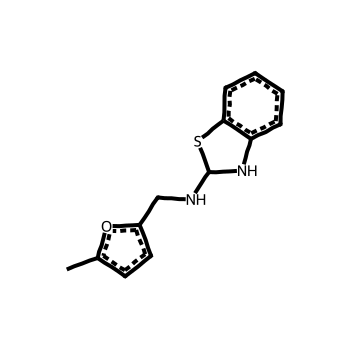 Cc1ccc(CNC2Nc3ccccc3S2)o1